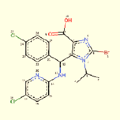 CC(C)n1c(Br)nc(C(=O)O)c1C(Nc1ccc(Cl)cn1)c1ccc(Cl)cc1